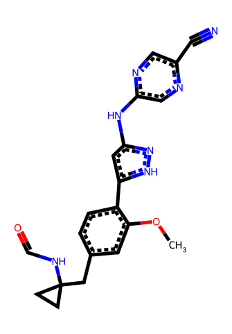 COc1cc(CC2(NC=O)CC2)ccc1-c1cc(Nc2cnc(C#N)cn2)n[nH]1